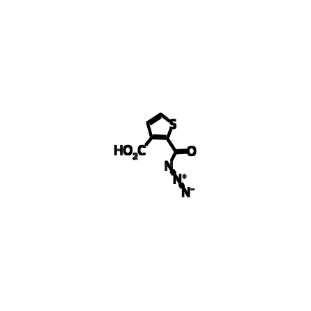 [N-]=[N+]=NC(=O)c1sccc1C(=O)O